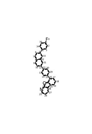 Fc1ccc(-c2ccc3ccc(-c4ccc(-c5cccc6c5oc5ncccc56)cc4)cc3c2)cc1